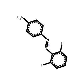 Nc1ccc(/N=N/c2c(F)cccc2F)cc1